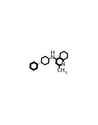 Cc1cc(N[C@H]2CC[C@@H](c3ccccc3)CC2)c2c(n1)CCCC2